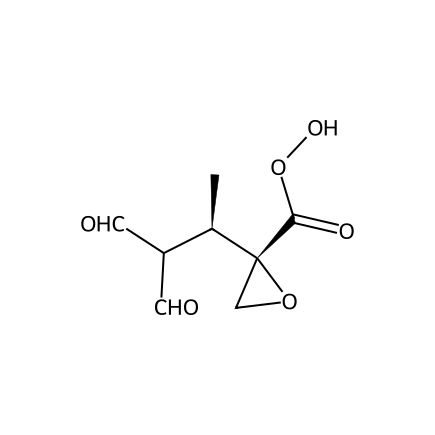 C[C@H](C(C=O)C=O)[C@@]1(C(=O)OO)CO1